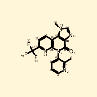 Cc1ncccc1-n1c(=O)c2ncn(C)c2c2ccc(C(F)(F)F)nc21